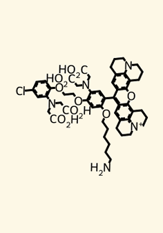 NCCCCCCOc1cc(OCCOc2ccc(Cl)cc2N(CC(=O)O)CC(=O)O)c(N(CC(=O)O)CC(=O)O)cc1C1=c2cc3c4c(c2Oc2c1cc1c5c2CCCN5CCC1)CCC[N+]=4CCC3